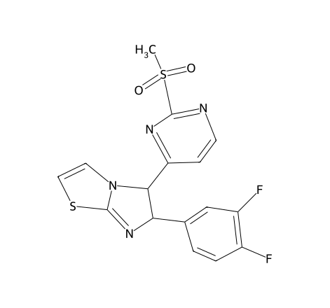 CS(=O)(=O)c1nccc(C2C(c3ccc(F)c(F)c3)N=C3SC=CN32)n1